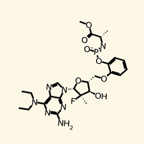 CCN(CC)c1nc(N)nc2c1ncn2[C@@H]1O[C@H](COc2ccccc2O/[P+]([O-])=N/[C@@H](C)C(=O)OC)[C@@H](O)[C@@]1(C)F